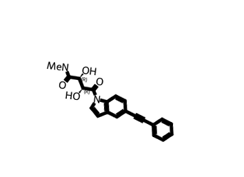 CNC(=O)[C@H](O)[C@@H](O)C(=O)n1ccc2cc(C#Cc3ccccc3)ccc21